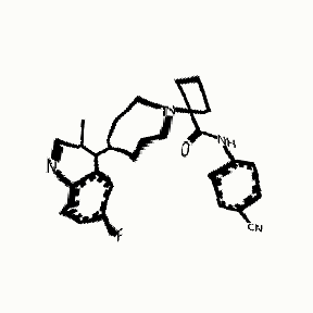 CC1C=Nc2ccc(F)cc2C1C1CCN(C2(C(=O)Nc3ccc(C#N)cc3)CCC2)CC1